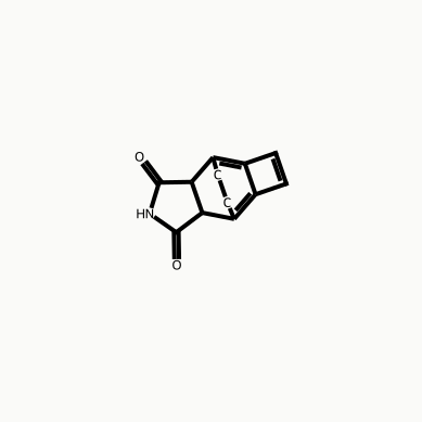 O=C1NC(=O)C2C3=C4C=CC4=C(CC3)C12